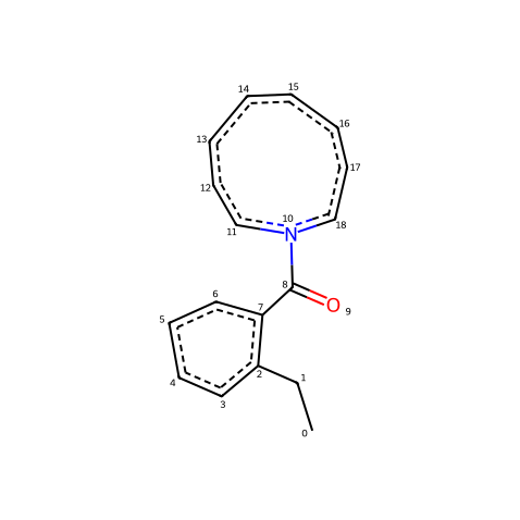 CCc1ccccc1C(=O)n1cccccccc1